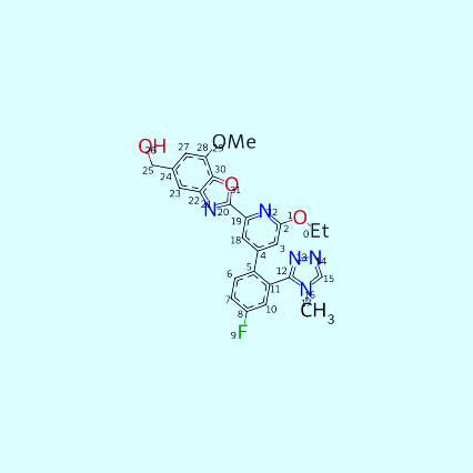 CCOc1cc(-c2ccc(F)cc2-c2nncn2C)cc(-c2nc3cc(CO)cc(OC)c3o2)n1